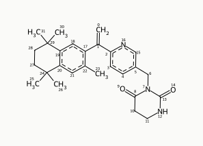 C=C(c1ccc(CN2C(=O)CCNC2=O)cn1)c1cc2c(cc1C)C(C)(C)CCC2(C)C